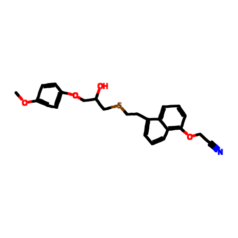 COc1ccc(OCC(O)CSCCc2cccc3c(OCC#N)cccc23)cc1